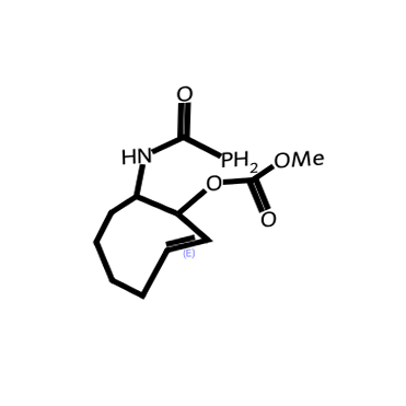 COC(=O)OC1/C=C/CCCCC1NC(=O)P